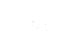 Brc1cc(Br)cc(Oc2cccnc2)c1